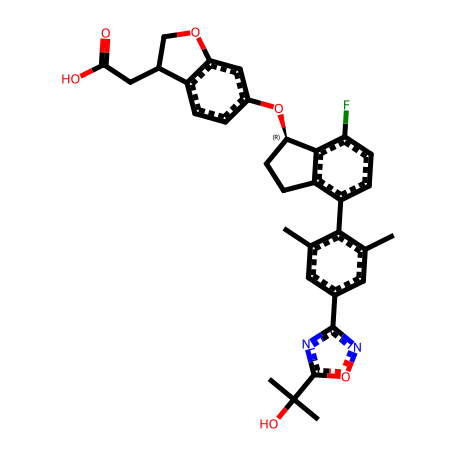 Cc1cc(-c2noc(C(C)(C)O)n2)cc(C)c1-c1ccc(F)c2c1CC[C@H]2Oc1ccc2c(c1)OCC2CC(=O)O